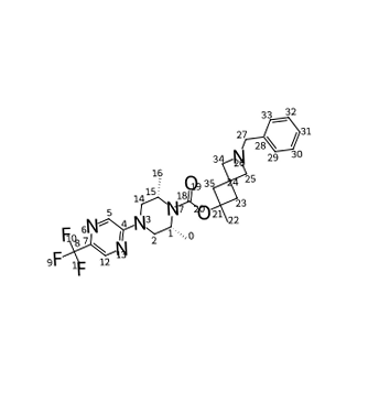 C[C@@H]1CN(c2cnc(C(F)(F)F)cn2)C[C@H](C)N1C(=O)OC1(C)CC2(CN(Cc3ccccc3)C2)C1